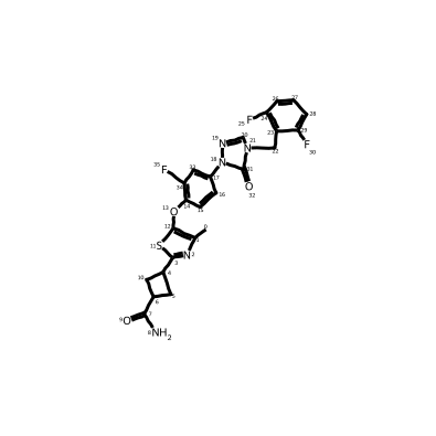 Cc1nc(C2CC(C(N)=O)C2)sc1Oc1ccc(-n2ncn(Cc3c(F)cccc3F)c2=O)cc1F